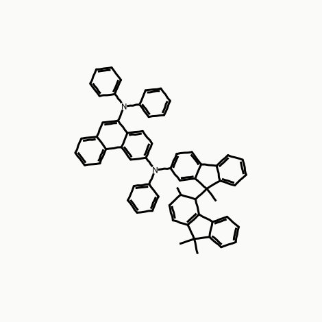 CC1C=CC2=C(c3ccccc3C2(C)C)C1C1(C)c2ccccc2-c2ccc(N(c3ccccc3)c3ccc4c(N(c5ccccc5)c5ccccc5)cc5ccccc5c4c3)cc21